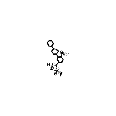 CC(OP(=O)(N1CC1)N1CC1)c1ccc([N+](=O)[O-])c(-c2ccc(-c3ccccc3)cc2)c1